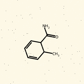 CC1C=CC=CC1C(N)=O